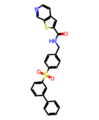 O=C(NCc1ccc(S(=O)(=O)c2cccc(-c3ccccc3)c2)cc1)c1cc2ccncc2s1